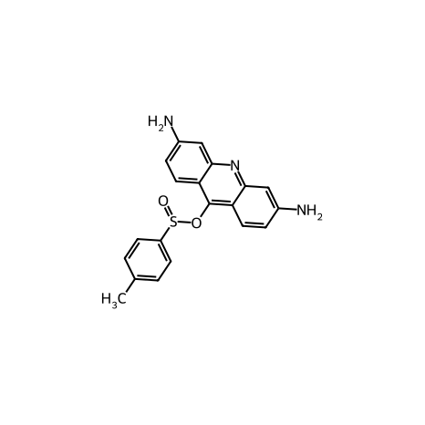 Cc1ccc(S(=O)Oc2c3ccc(N)cc3nc3cc(N)ccc23)cc1